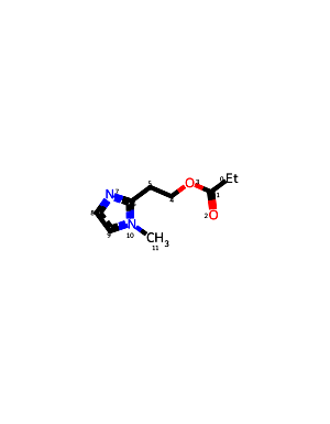 CCC(=O)OCCc1nccn1C